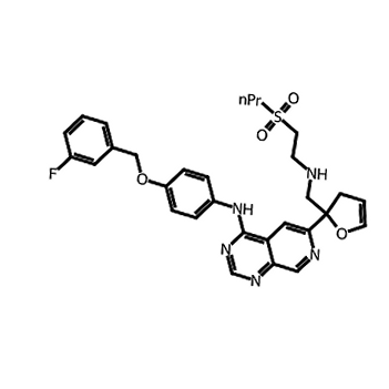 CCCS(=O)(=O)CCNCC1(c2cc3c(Nc4ccc(OCc5cccc(F)c5)cc4)ncnc3cn2)CC=CO1